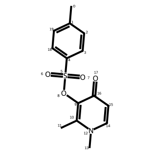 Cc1ccc(S(=O)(=O)Oc2c(C)n(C)ccc2=O)cc1